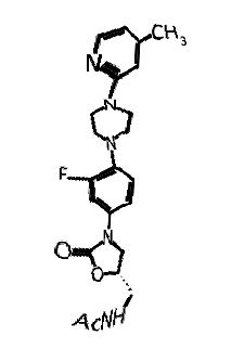 CC(=O)NC[C@H]1CN(c2ccc(N3CCN(c4cc(C)ccn4)CC3)c(F)c2)C(=O)O1